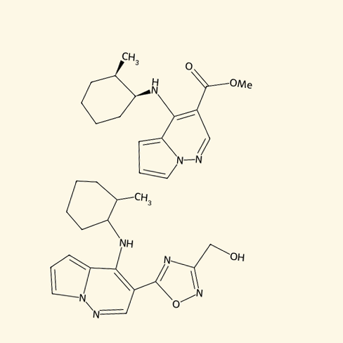 CC1CCCCC1Nc1c(-c2nc(CO)no2)cnn2cccc12.COC(=O)c1cnn2cccc2c1N[C@H]1CCCC[C@H]1C